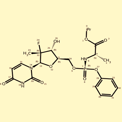 CC(C)OC(=O)[C@H](C)N[P@@](=O)(OC[C@H]1O[C@@H](n2ccc(=O)[nH]c2=O)[C@](C)(F)[C@@H]1O)Oc1ccccc1